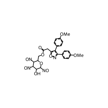 COc1ccc(-c2noc(CC(=O)OCC3OC(N=O)C(O)C(N=O)C3N=O)c2-c2ccc(OC)cc2)cc1